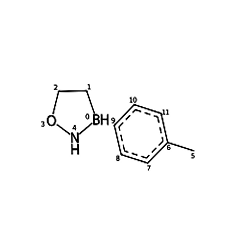 B1CCON1.Cc1ccccc1